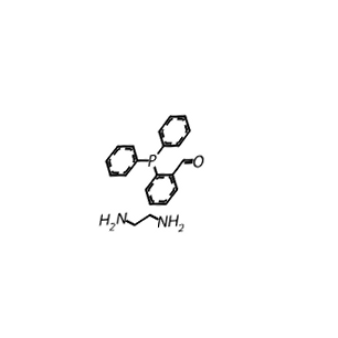 NCCN.O=Cc1ccccc1P(c1ccccc1)c1ccccc1